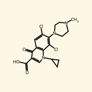 CN1CCN(c2c(Cl)cc3c(=O)c(C(=O)O)cn(C4CC4)c3c2Cl)CC1